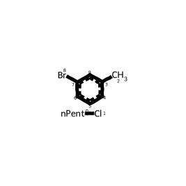 CCCCCCl.Cc1cccc(Br)c1